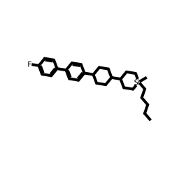 CCCCC[Si]1(C)CCC(C2CCC(c3ccc(-c4ccc(F)cc4)cc3)CC2)CC1